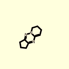 C1=C2N=C3CCCC3=NN2CCC1